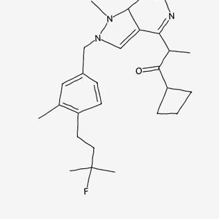 Cc1cc(CN2C=C3C(C(C)C(=O)C4CCC4)=NC=CC3N2C)ccc1CCC(C)(C)F